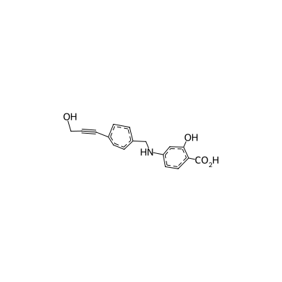 O=C(O)c1ccc(NCc2ccc(C#CCO)cc2)cc1O